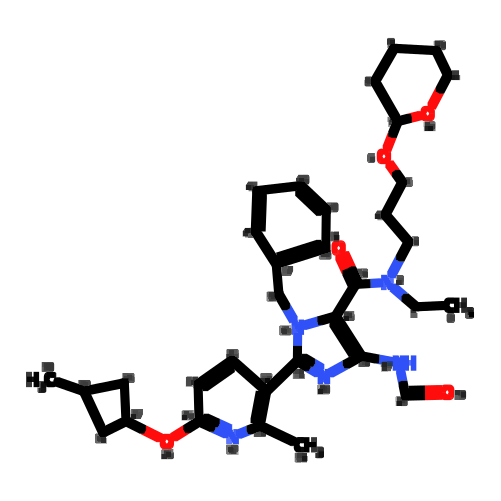 CCN(CCCOC1CCCCO1)C(=O)c1c(NC=O)nc(-c2ccc(OC3CC(C)C3)nc2C)n1Cc1ccccc1